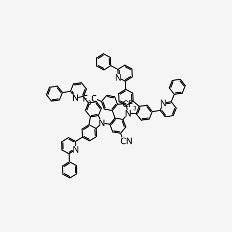 N#Cc1cc(-n2c3ccc(-c4cccc(-c5ccccc5)n4)cc3c3cc(-c4cccc(-c5ccccc5)n4)ccc32)c(-c2cc(C(F)(F)F)ccc2C(F)(F)F)c(-n2c3ccc(-c4cccc(-c5ccccc5)n4)cc3c3cc(-c4cccc(-c5ccccc5)n4)ccc32)c1